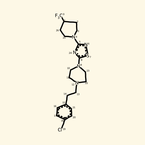 FC(F)(F)C1CCN(c2nsc(N3CCN(CCc4ccc(Cl)cc4)CC3)n2)CC1